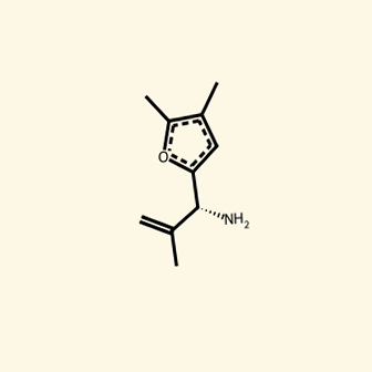 C=C(C)[C@@H](N)c1cc(C)c(C)o1